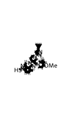 CO[C@@H]1CCN(c2nc(-c3c(C)ccc4c3c(C)nn4S)nc3c2CN(c2cc(C4CC4)nn2C)CC3)CC1(C)C